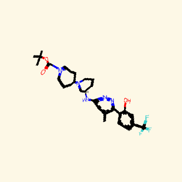 Cc1cc(N[C@@H]2CCCN(C3CCN(C(=O)OC(C)(C)C)CC3)C2)nnc1-c1ccc(C(F)(F)F)cc1O